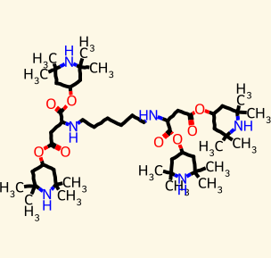 CC1(C)CC(OC(=O)CC(NCCCCCCNC(CC(=O)OC2CC(C)(C)NC(C)(C)C2)C(=O)OC2CC(C)(C)NC(C)(C)C2)C(=O)OC2CC(C)(C)NC(C)(C)C2)CC(C)(C)N1